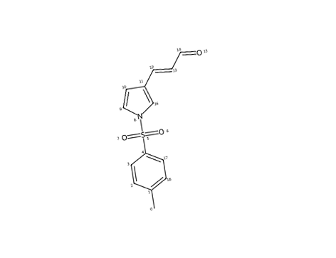 Cc1ccc(S(=O)(=O)n2ccc(C=CC=O)c2)cc1